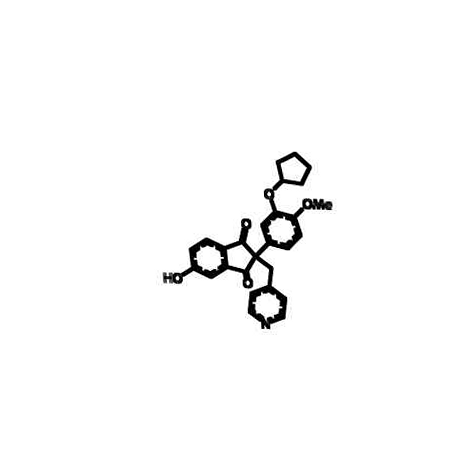 COc1ccc(C2(Cc3ccncc3)C(=O)c3ccc(O)cc3C2=O)cc1OC1CCCC1